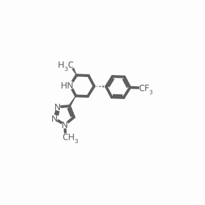 C[C@H]1C[C@H](c2ccc(C(F)(F)F)cc2)C[C@@H](c2cn(C)nn2)N1